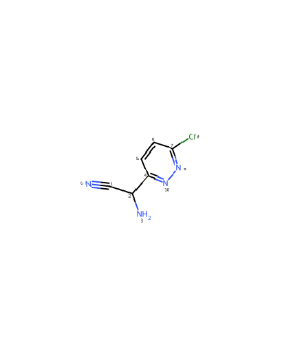 N#CC(N)c1ccc(Cl)nn1